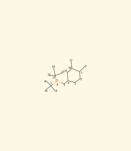 CC1CCC(CP(C(C)(C)C)C(C)(C)C)CC1C